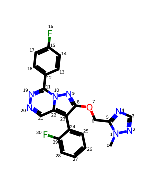 Cn1ncnc1COc1nn2c(-c3ccc(F)cc3)nncc2c1-c1ccccc1F